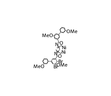 COc1cccc(C2=CC(Br)(OC)C(Br)C(C3=N[C@](C)(C[C@@]4(C)N=C(c5cc(OC)cc(-c6cccc(OC)c6)c5)O[CH]4[Ni])[CH]([Ni])O3)=C2)c1